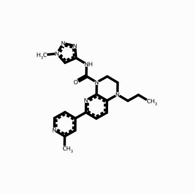 CCCN1CCN(C(=O)Nc2cn(C)nn2)c2nc(-c3ccnc(C)c3)ccc21